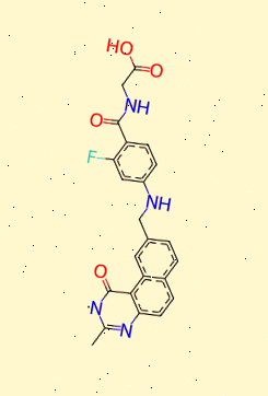 CC1=Nc2ccc3ccc(CNc4ccc(C(=O)NCC(=O)O)c(F)c4)cc3c2C(=O)[N]1